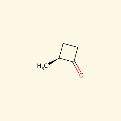 C[C@H]1CCC1=O